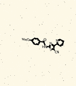 COc1ccc(C(=O)Nc2nc(-c3ccccn3)c(C#N)s2)cc1